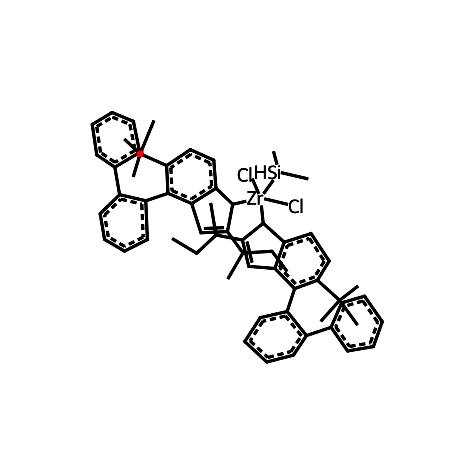 CCC(C)C1=Cc2c(ccc(C(C)(C)C)c2-c2ccccc2-c2ccccc2)[CH]1[Zr]([Cl])([Cl])([CH]1C(C(C)CC)=Cc2c1ccc(C(C)(C)C)c2-c1ccccc1-c1ccccc1)[SiH](C)C